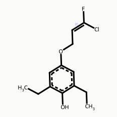 CCc1cc(OC/C=C(/F)Cl)cc(CC)c1O